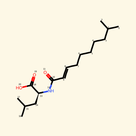 CC(C)CCCCCC=CC(=O)N[C@@H](CC(C)C)C(=O)O